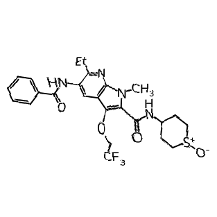 CCc1nc2c(cc1NC(=O)c1ccccc1)c(OCC(F)(F)F)c(C(=O)NC1CC[S+]([O-])CC1)n2C